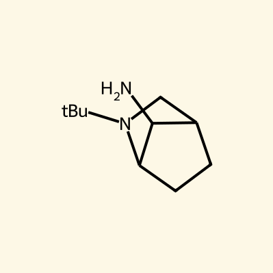 CC(C)(C)N1CC2CCC1C2N